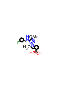 COc1nnc(-n2c(C)cc3c(B(O)O)cccc32)nc1NCc1cccc(F)c1